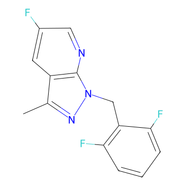 Cc1nn(Cc2c(F)cccc2F)c2ncc(F)cc12